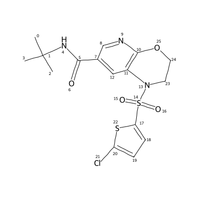 CC(C)(C)NC(=O)c1cnc2c(c1)N(S(=O)(=O)c1ccc(Cl)s1)CCO2